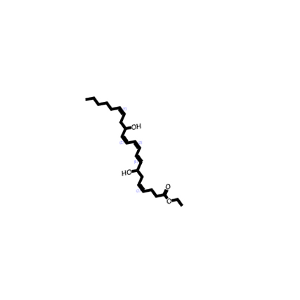 CCCCC/C=C\CC(O)\C=C/C=C\C=C\C(O)C/C=C\CCC(=O)OCC